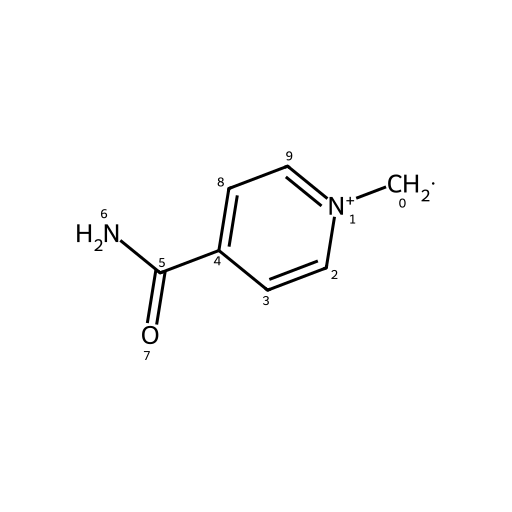 [CH2][n+]1ccc(C(N)=O)cc1